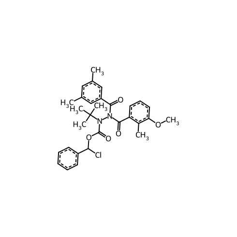 COc1cccc(C(=O)N(C(=O)c2cc(C)cc(C)c2)N(C(=O)OC(Cl)c2ccccc2)C(C)(C)C)c1C